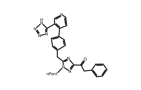 CCCCCn1nc(C(=O)Cc2ccccc2)nc1Cc1ccc(-c2ccncc2-c2nnn[nH]2)cc1